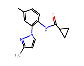 Cc1ccc(NC(=O)C2CC2)c(-n2ccc(C(F)(F)F)n2)c1